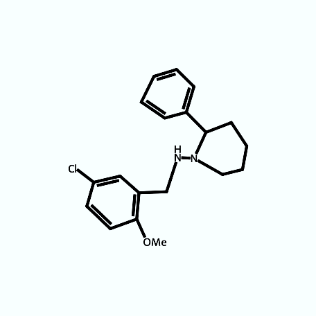 COc1ccc(Cl)cc1CNN1CCCCC1c1ccccc1